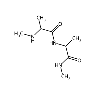 CNC(=O)C(C)NC(=O)C(C)NC